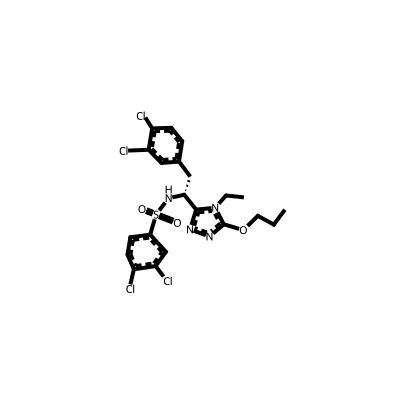 CCCOc1nnc([C@@H](Cc2ccc(Cl)c(Cl)c2)NS(=O)(=O)c2ccc(Cl)c(Cl)c2)n1CC